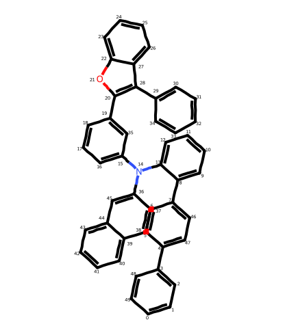 c1ccc(-c2ccc(-c3ccccc3N(c3cccc(-c4oc5ccccc5c4-c4ccccc4)c3)c3ccc4ccccc4c3)cc2)cc1